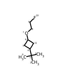 CC(C)(C)C1CC(OCCF)C1